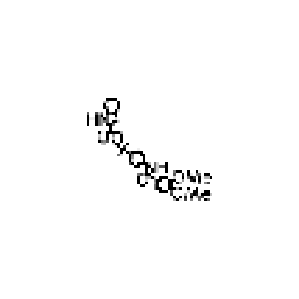 COc1ccc(C(=O)Nc2ccc(C(C)(C)COC(=O)c3cc4ccccc4[nH]3)cc2)cc1OC